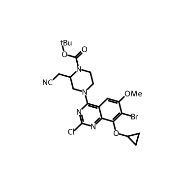 COc1cc2c(N3CCN(C(=O)OC(C)(C)C)C(CC#N)C3)nc(Cl)nc2c(OC2CC2)c1Br